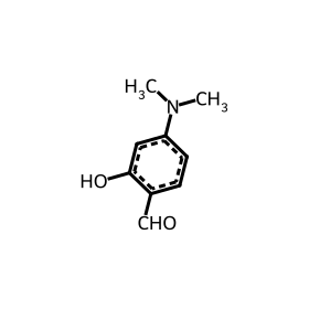 CN(C)c1ccc(C=O)c(O)c1